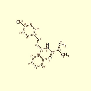 C=C(C)C(=O)NC(=CSc1ccc(Cl)cc1)c1ccccc1